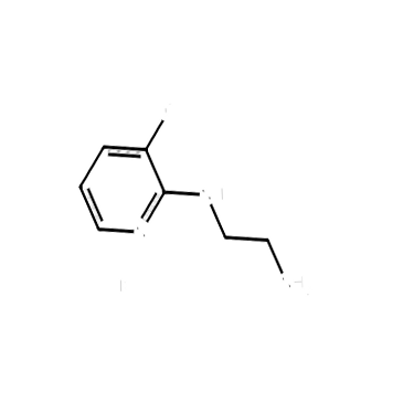 Cl.NCCNc1ncccc1Cl